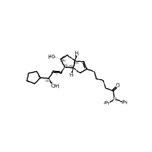 CC(C)N(C(=O)CCCCC1=C[C@H]2C[C@@H](O)[C@H](/C=C/[C@@H](O)C3CCCC3)[C@H]2C1)C(C)C